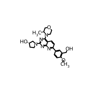 COc1ccc(-c2ccc3c(N4CCOC[C@@H]4C)nc(N4CC[C@H](O)C4)nc3n2)cc1CO